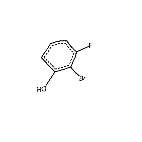 Oc1cccc(F)c1Br